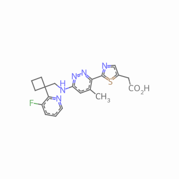 Cc1cc(NCC2(c3ncccc3F)CCC2)nnc1-c1ncc(CC(=O)O)s1